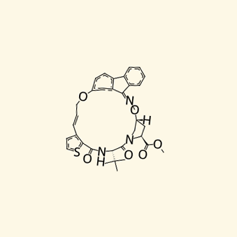 COC(=O)[C@@H]1C[C@@H]2CN1C(=O)[C@H](C(C)(C)C)NC(=O)c1sccc1/C=C/COc1ccc3c(c1)C(=NO2)c1ccccc1-3